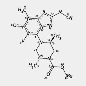 C[C@@H]1CN(c2c(F)c(=O)n(C)c3cc(CC#N)nn23)[C@@H](C)CN1C(=O)OC(C)(C)C